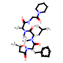 CC(C)C[C@@H](C(=O)N(C)[C@@H](C)C(=O)NCC(=O)N1CCCCC1)N(C)C(=O)[C@H](Cc1ccccc1)N1O[C@H](C)CC1=O